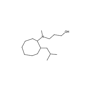 CC(C)CC1CCCCCCC1N(C)CCCO